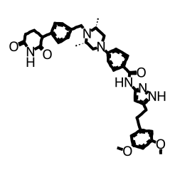 COc1cc(CCc2cc(NC(=O)c3ccc(N4C[C@@H](C)N(Cc5ccc(C6CCC(=O)NC6=O)cc5)[C@@H](C)C4)cc3)n[nH]2)cc(OC)c1